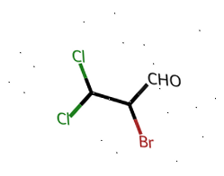 O=CC(Br)C(Cl)Cl